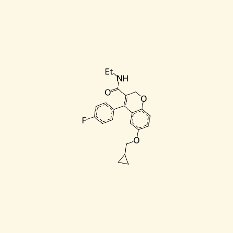 CCNC(=O)C1=C(c2ccc(F)cc2)c2cc(OCC3CC3)ccc2OC1